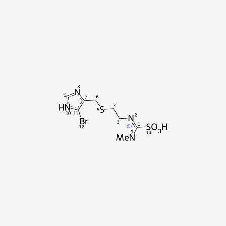 CN/C(=N\CCSCc1nc[nH]c1Br)S(=O)(=O)O